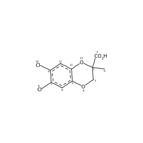 CC1(C(=O)O)COc2cc(Cl)c(Cl)cc2O1